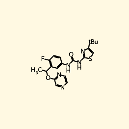 CC(Oc1cnccn1)c1cc(NC(=O)Nc2nc(C(C)(C)C)cs2)ccc1F